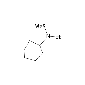 CCN(SC)C1CCCCC1